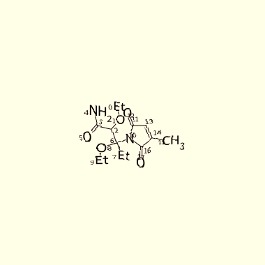 CCOC(C(N)=O)C(CC)(OCC)N1C(=O)C=C(C)C1=O